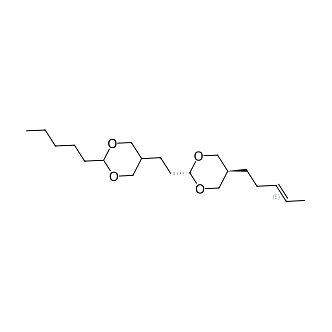 C/C=C/CC[C@H]1CO[C@H](CCC2COC(CCCCC)OC2)OC1